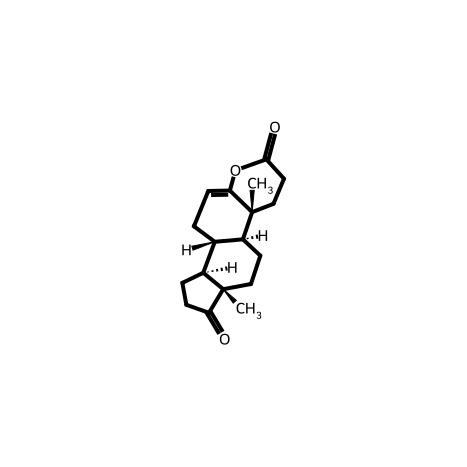 C[C@]12CCC(=O)OC1=CC[C@@H]1[C@@H]2CC[C@]2(C)C(=O)CC[C@@H]12